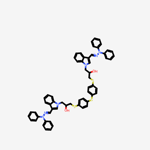 OC(CSc1ccc(Sc2ccc(SCC(O)Cn3cc(/C=N/N(c4ccccc4)c4ccccc4)c4ccccc43)cc2)cc1)Cn1cc(/C=N/N(c2ccccc2)c2ccccc2)c2ccccc21